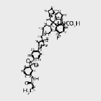 C=CC(=O)Nc1cccc(S(=O)(=O)c2ccc(N3CC(F)(CN4CCC(C(CN5CCC5)(c5cccc(F)c5)[C@H]5CCC[C@@H]5NC(=O)O)CC4)C3)cc2)c1